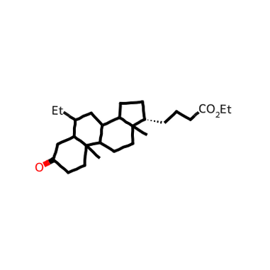 CCOC(=O)CCC[C@H]1CCC2C3CC(CC)C4CC(=O)CCC4(C)C3CCC21C